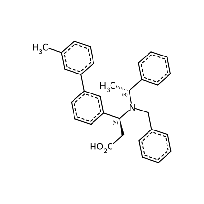 Cc1cccc(-c2cccc([C@H](CC(=O)O)N(Cc3ccccc3)[C@H](C)c3ccccc3)c2)c1